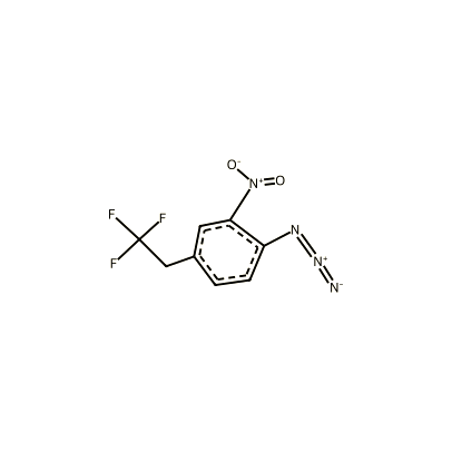 [N-]=[N+]=Nc1ccc(CC(F)(F)F)cc1[N+](=O)[O-]